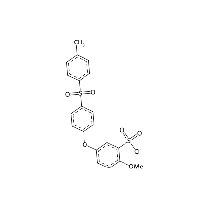 COc1ccc(Oc2ccc(S(=O)(=O)c3ccc(C)cc3)cc2)cc1S(=O)(=O)Cl